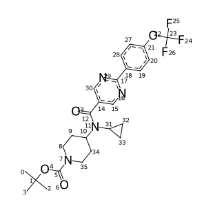 CC(C)(C)OC(=O)N1CCC(N(C(=O)c2cnc(-c3ccc(OC(F)(F)F)cc3)nc2)C2CC2)CC1